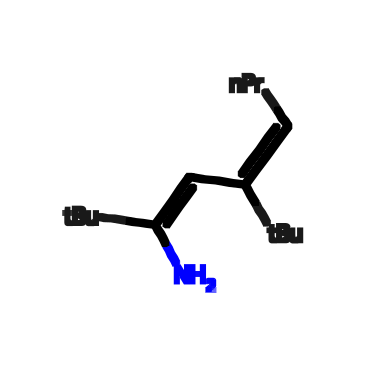 CCC/C=C(\C=C(/N)C(C)(C)C)C(C)(C)C